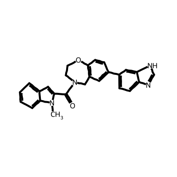 Cn1c(C(=O)N2CCOc3ccc(-c4ccc5nc[nH]c5c4)cc3C2)cc2ccccc21